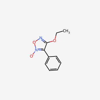 CCOc1no[n+]([O-])c1-c1ccccc1